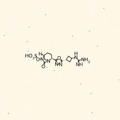 N=C(N)N[C@H]1C[C@H](c2nnc([C@@H]3CC[C@@H]4CN3C(=O)N4OS(=O)(=O)O)o2)C1